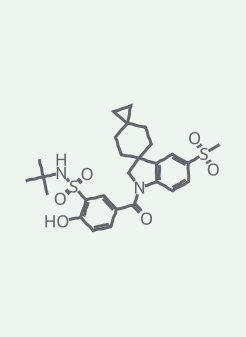 CC(C)(C)NS(=O)(=O)c1cc(C(=O)N2CC3(CCC4(CC4)CC3)c3cc(S(C)(=O)=O)ccc32)ccc1O